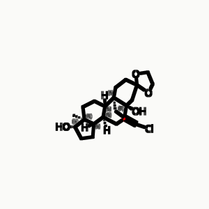 C[C@]12CC[C@H]3[C@@H](CC[C@@]4(O)CC5(CC[C@]34CC#CCl)OCCO5)[C@@H]1CC[C@@H]2O